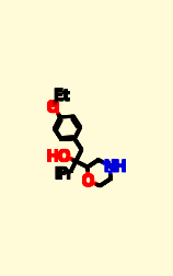 CCOc1ccc(CC(O)(C(C)C)C2CNCCO2)cc1